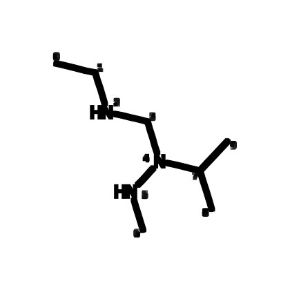 CCNCN(NC)C(C)C